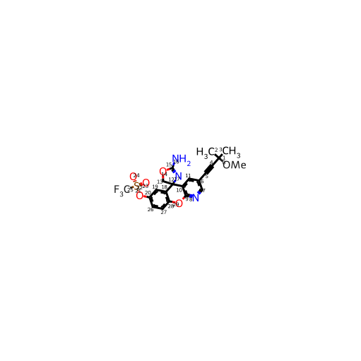 COC(C)(C)C#Cc1cnc2c(c1)C1(COC(N)=N1)c1cc(OS(=O)(=O)C(F)(F)F)ccc1O2